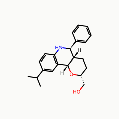 CC(C)c1ccc2c(c1)[C@H]1O[C@@H](CO)CC[C@H]1[C@H](c1ccccc1)N2